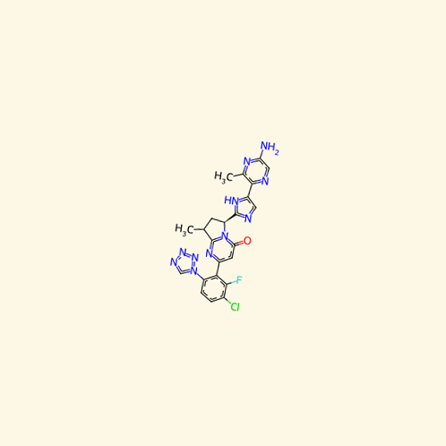 Cc1nc(N)cnc1-c1cnc([C@@H]2CC(C)c3nc(-c4c(-n5cnnn5)ccc(Cl)c4F)cc(=O)n32)[nH]1